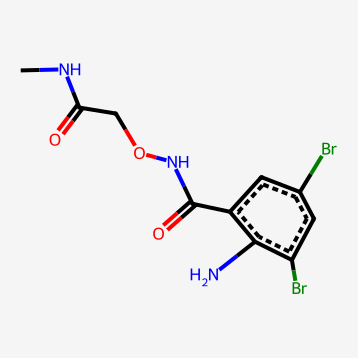 CNC(=O)CONC(=O)c1cc(Br)cc(Br)c1N